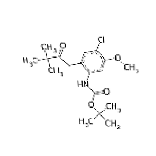 COc1cc(NC(=O)OC(C)(C)C)c(CC(=O)C(C)(C)C)cc1Cl